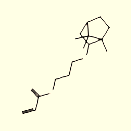 C=CC(=O)OCCCOC1CC2CCC1(C)C2(C)C